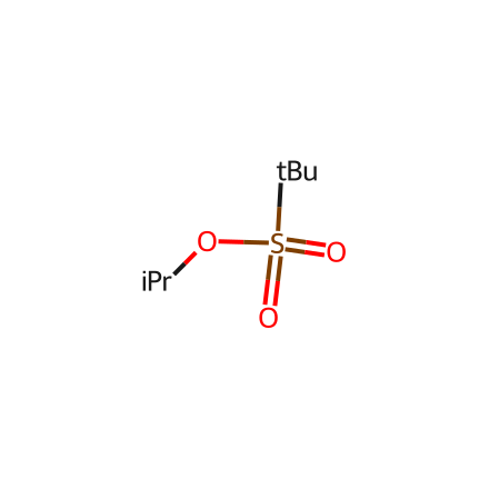 CC(C)OS(=O)(=O)C(C)(C)C